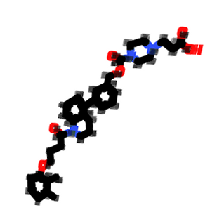 Cc1cccc(OCCCC(=O)N2CCCc3c(-c4cccc(COC(=O)N5CCN(CCC(=O)O)CC5)c4)cccc32)c1C